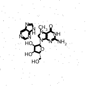 CN1CN([C@@H]2O[C@H](CO)[C@@H](O)[C@H]2O)c2nc(N)[nH]c(=O)c21.c1ncc2nc[nH]c2n1